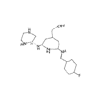 OCC1CC(NCC2CCC(F)CC2)NC(N[C@H]2CNCCN2)C1